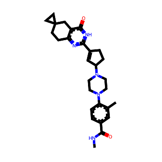 CNC(=O)c1ccc(N2CCN(C3C=C(c4nc5c(c(=O)[nH]4)CC4(CC5)CC4)CC3)CC2)c(C)c1